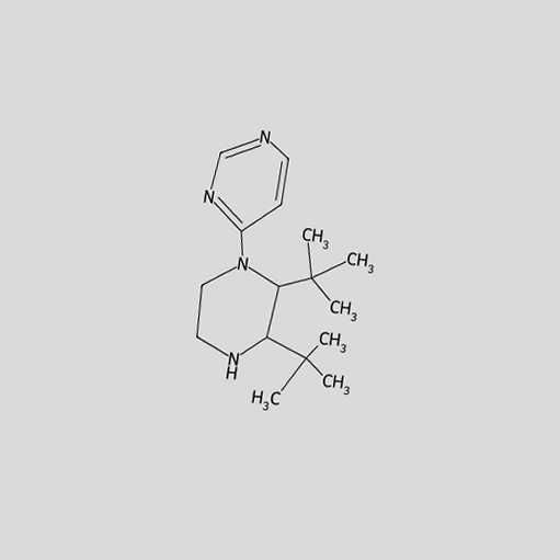 CC(C)(C)C1NCCN(c2ccncn2)C1C(C)(C)C